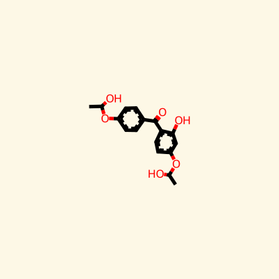 CC(O)Oc1ccc(C(=O)c2ccc(OC(C)O)cc2O)cc1